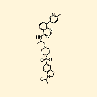 CC(=O)N1CCc2cc(S(=O)(=O)N3CCN(CC(C)Nc4ncnc5c(-c6ccc(C)nc6)cccc45)CC3)ccc21